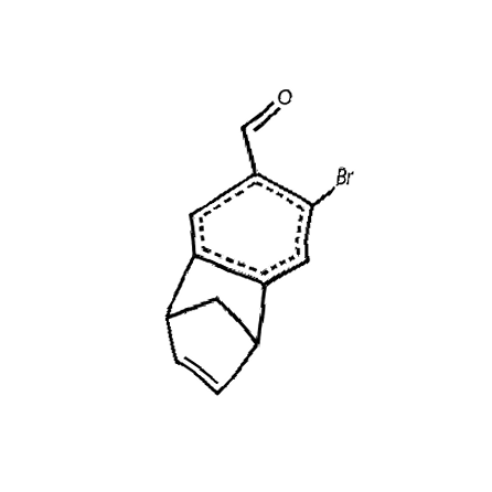 O=Cc1cc2c(cc1Br)C1C=CC2C1